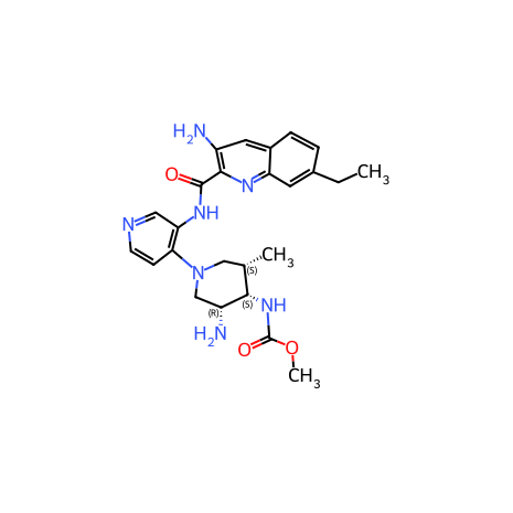 CCc1ccc2cc(N)c(C(=O)Nc3cnccc3N3C[C@@H](N)[C@@H](NC(=O)OC)[C@@H](C)C3)nc2c1